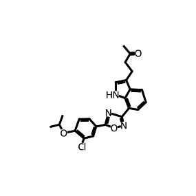 CC(=O)CCc1c[nH]c2c(-c3noc(-c4ccc(OC(C)C)c(Cl)c4)n3)cccc12